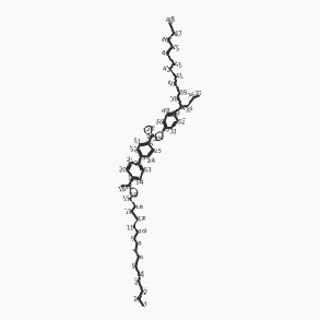 CCCCCCCCCCCCCCCCOC(C)c1ccc(-c2ccc(C(=O)Oc3ccc(C(CCC)CCCCCCCCCCC)cc3)cc2)cc1